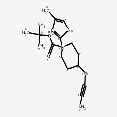 CC#CNC1CC[N+](C(=O)OC(C)(C)C)(c2nc(C)cs2)CC1